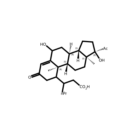 CCCC(CC(=O)O)C1CC(=O)C=C2C(O)C[C@H]3[C@@H]4CC[C@](O)(C(C)=O)[C@@]4(C)CC[C@@H]3[C@]21C